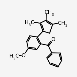 COc1ccc(C2=C(C)C(C)=C(C)C2)c(C(=O)c2ccccc2)c1